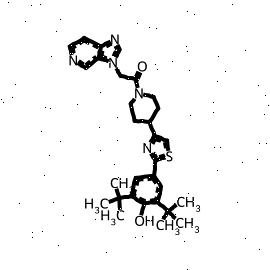 CC(C)(C)c1cc(-c2nc(C3CCN(C(=O)Cn4cnc5ccncc54)CC3)cs2)cc(C(C)(C)C)c1O